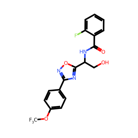 O=C(NC(CO)c1nc(-c2ccc(OC(F)(F)F)cc2)no1)c1ccccc1F